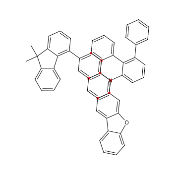 CC1(C)c2ccccc2-c2c(-c3ccc(N(c4ccc5c(c4)oc4ccccc45)c4cccc(-c5ccccc5)c4-c4ccccc4-c4ccccc4)cc3)cccc21